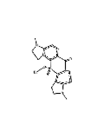 CCOP1(=O)c2c(ccc3c2CCN3C)C(=O)c2ccc3c(c21)CCN3C